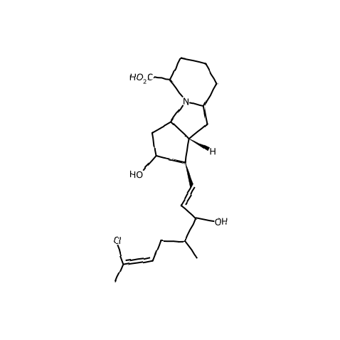 C/C(Cl)=C/CC(C)C(O)/C=C/[C@H]1C(O)CC2[C@@H]1CC1CCCC(C(=O)O)N12